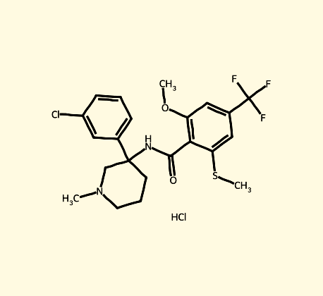 COc1cc(C(F)(F)F)cc(SC)c1C(=O)NC1(c2cccc(Cl)c2)CCCN(C)C1.Cl